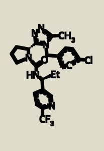 CC[C@H](NC(=O)N1CCC[C@@H]1c1nnc(C)n1Cc1ccc(Cl)cc1)c1ccc(C(F)(F)F)nc1